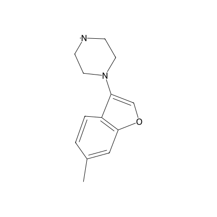 Cc1ccc2c(N3CC[N]CC3)coc2c1